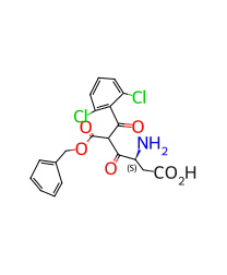 N[C@@H](CC(=O)O)C(=O)C(C(=O)OCc1ccccc1)C(=O)c1c(Cl)cccc1Cl